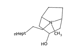 CCCCCCCCC[N+]1(C)C2CCC1CC(O)C2